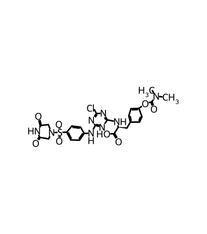 CN(C)C(=O)Oc1ccc(C[C@H](Nc2nc(Cl)nc(Nc3ccc(S(=O)(=O)N4CC(=O)NC(=O)C4)cc3)n2)C(=O)O)cc1